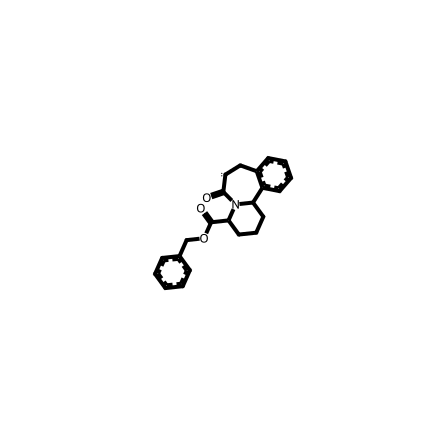 O=C(OCc1ccccc1)C1CCCC2c3ccccc3C[C]C(=O)N12